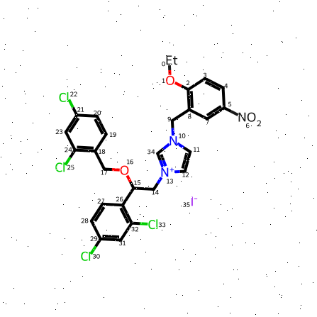 CCOc1ccc([N+](=O)[O-])cc1Cn1cc[n+](CC(OCc2ccc(Cl)cc2Cl)c2ccc(Cl)cc2Cl)c1.[I-]